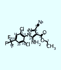 CCOC(=O)c1c(C#N)nn(-c2c(Cl)cc(C(F)(F)F)cc2Cl)c1N